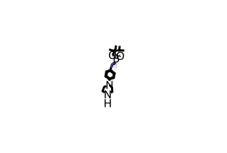 CC1(C)OB(/C=C/c2ccc(N3CCNCC3)cc2)OC1(C)C